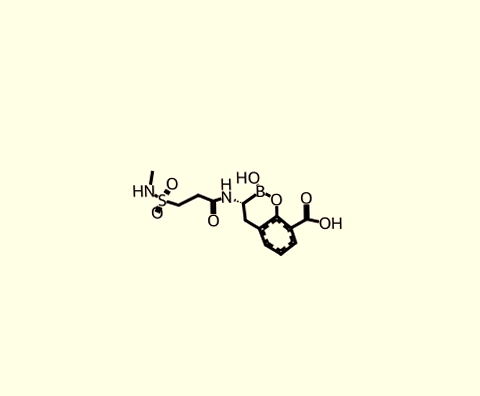 CNS(=O)(=O)CCC(=O)N[C@H]1Cc2cccc(C(=O)O)c2OB1O